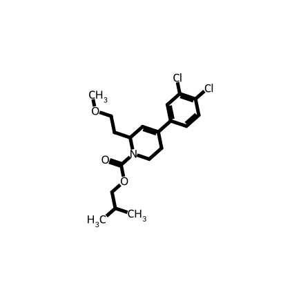 COCCC1C=C(c2ccc(Cl)c(Cl)c2)CCN1C(=O)OCC(C)C